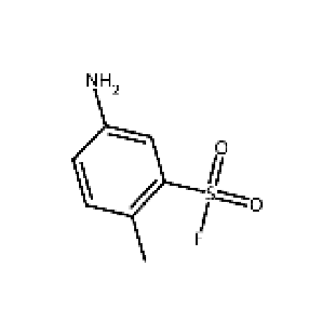 Cc1ccc(N)cc1S(=O)(=O)F